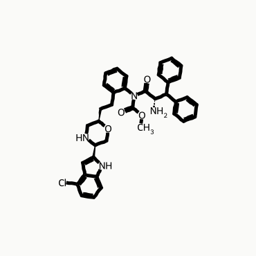 COC(=O)N(C(=O)[C@@H](N)C(c1ccccc1)c1ccccc1)c1ccccc1CC[C@@H]1CN[C@H](c2cc3c(Cl)cccc3[nH]2)CO1